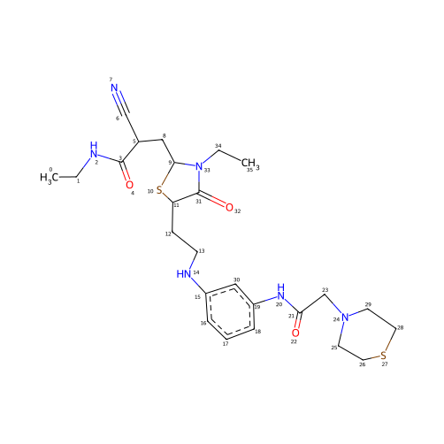 CCNC(=O)C(C#N)CC1SC(CCNc2cccc(NC(=O)CN3CCSCC3)c2)C(=O)N1CC